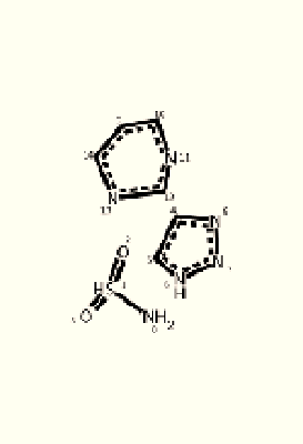 N[SH](=O)=O.c1c[nH]nn1.c1cncnc1